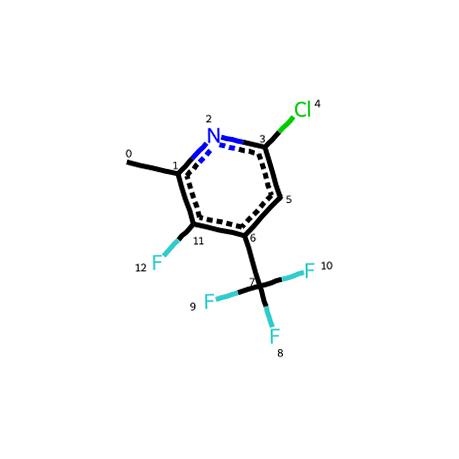 Cc1nc(Cl)cc(C(F)(F)F)c1F